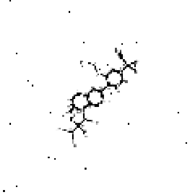 CCSc1cc(C2(C#N)CC2)cnc1-c1cc2ccc(=O)n(C(F)C(F)(F)C(F)F)c2cn1